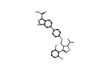 CC(C)C1ON=C(c2c(Cl)cccc2Cl)C1COc1ccc(-c2ccc3c(C(=O)O)n[nH]c3c2)cc1